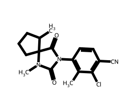 Cc1c(N2C(=O)N(C)C3(CCCC3C)C2=O)ccc(C#N)c1Cl